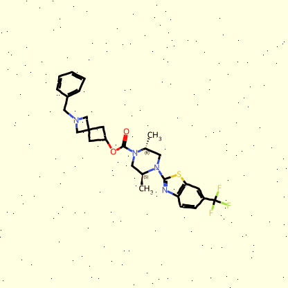 C[C@@H]1CN(c2nc3ccc(C(F)(F)F)cc3s2)[C@@H](C)CN1C(=O)OC1CC2(C1)CN(Cc1ccccc1)C2